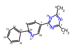 Cc1nc(C)nc(-c2ccc(-c3ccccc3)nc2)n1